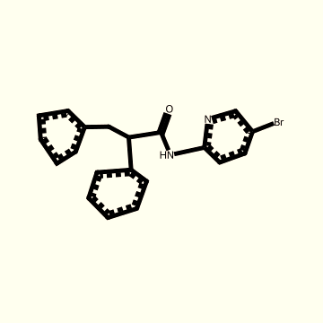 O=C(Nc1ccc(Br)cn1)C(Cc1ccccc1)c1ccccc1